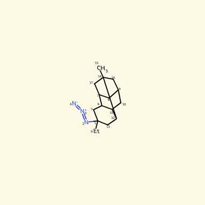 CCC1(N=[N+]=[N-])CC2C3CC4CC2C(C1)C(C)(C4)C3